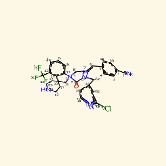 N#Cc1ccc(/C=C/C[N+]2(C(=O)NCc3ccnc(Cl)c3)CC3(CCNCC3)c3c(C(F)(F)F)cccc32)cc1